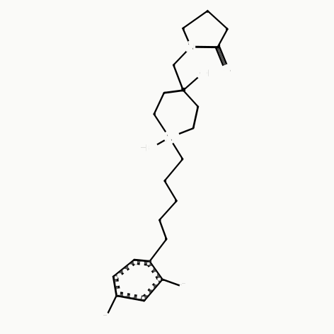 O=C1CCCN1CC1(O)CC[N+](O)(CCC[CH]Cc2ccc(F)cc2F)CC1